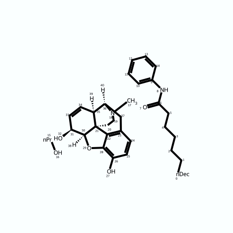 CCCCCCCCCCCCCCCC(=O)Nc1ccccc1.CCCO.CN1CC[C@]23c4c5ccc(O)c4O[C@H]2[C@@H](O)C=C[C@H]3[C@H]1C5